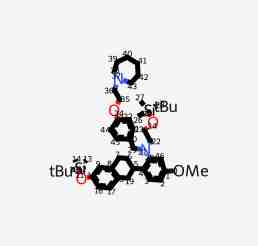 COc1ccc(C2CCc3cc(O[Si](C)(C)C(C)(C)C)ccc3C2)c(N(CCO[Si](C)(C)C(C)(C)C)Cc2ccc(OCCN3CCCCCC3)cc2)c1